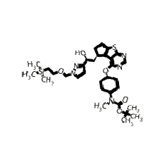 CN(C(=O)OC(C)(C)C)[C@H]1CC[C@H](Oc2ncnc3sc4c(c23)[C@@H](C[C@H](O)c2ccn(COCC[Si](C)(C)C)n2)CC4)CC1